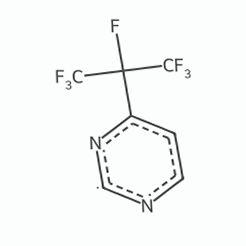 FC(F)(F)C(F)(c1ccn[c]n1)C(F)(F)F